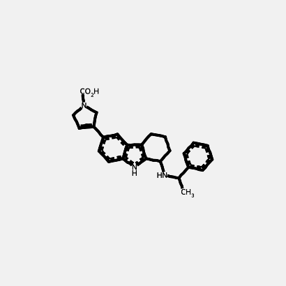 CC(NC1CCCc2c1[nH]c1ccc(C3=CCN(C(=O)O)C3)cc21)c1ccccc1